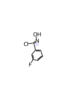 O/N=C(\Cl)c1cccc(F)c1